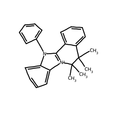 CC1(C)c2ccccc2-c2n(-c3ccccc3)c3ccccc3[n+]2C1(C)C